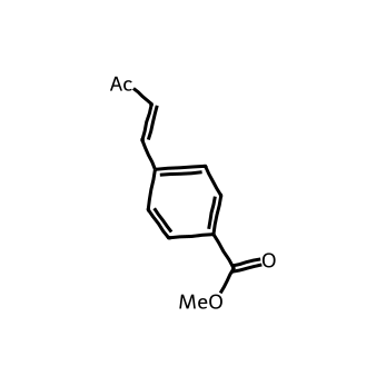 COC(=O)c1ccc(C=CC(C)=O)cc1